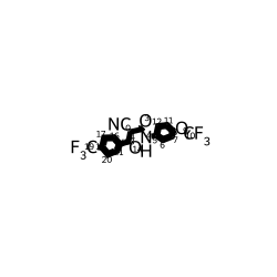 N#CC(C(=O)Nc1ccc(OC(F)(F)F)cc1)C(=O)c1ccc(C(F)(F)F)cc1